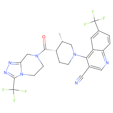 C[C@@H]1CN(c2c(C#N)cnc3ccc(C(F)(F)F)cc23)CC[C@@H]1C(=O)N1CCn2c(nnc2C(F)(F)F)C1